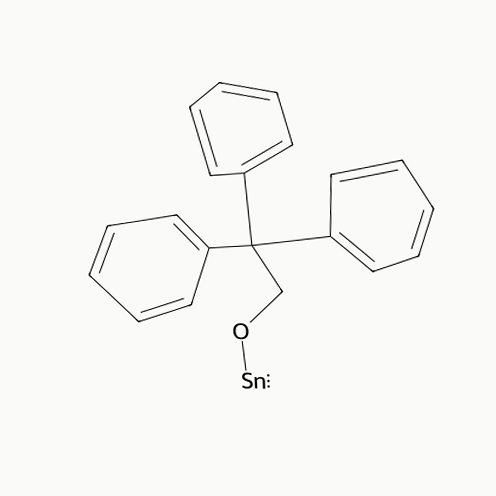 [Sn][O]CC(c1ccccc1)(c1ccccc1)c1ccccc1